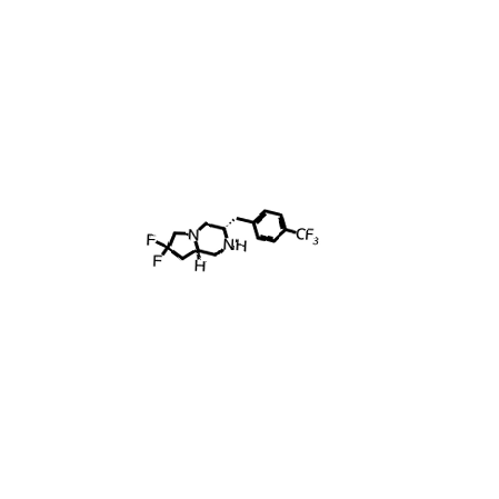 FC1(F)C[C@H]2CN[C@@H](Cc3ccc(C(F)(F)F)cc3)CN2C1